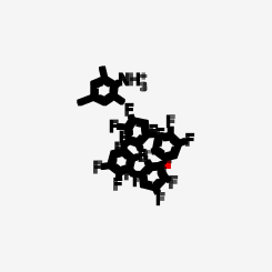 Cc1cc(C)c([NH3+])c(C)c1.Fc1cc(F)c([B-](c2c(F)cc(F)c(F)c2F)(c2c(F)cc(F)c(F)c2F)c2c(F)cc(F)c(F)c2F)c(F)c1F